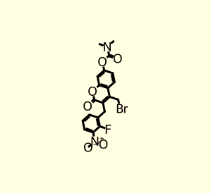 CN(C)C(=O)Oc1ccc2c(CBr)c(Cc3cccc([N+](=O)[O-])c3F)c(=O)oc2c1